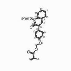 C=C(C)C(=O)OCOc1ccc(-c2cc3ccccc3n(C(C)CCC)c2=S)cc1